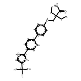 CCC(CC)(COc1ccc(-c2ccc(-c3nc(C(F)(F)F)c[nH]3)cn2)cc1)C(=O)O